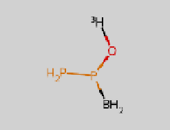 [3H]OP(B)P